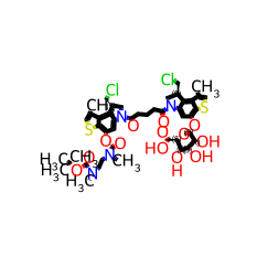 Cc1csc2c(OC(=O)N(C)CCN(C)C(=O)OC(C)(C)C)cc3c(c12)[C@H](CCl)CN3C(=O)CCCC(=O)N1C[C@@H](CCl)c2c1cc(O[C@@H]1O[C@H](C(=O)O)[C@@H](O)[C@H](O)[C@H]1O)c1scc(C)c21